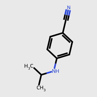 CC(C)Nc1ccc(C#N)cc1